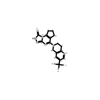 O=c1[nH]nc2nc(N3CCc4ncc(C(F)(F)F)cc4C3)c3c(n12)CCC3